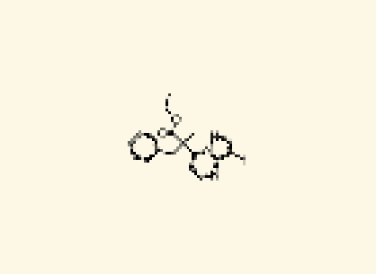 CCOC(=O)C(C)(Cc1ccccc1)c1ccnc2c(I)cnn12